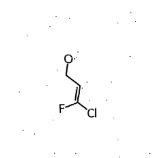 [O]C/C=C(\F)Cl